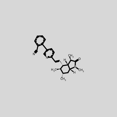 C[C@H]1[C@H](/C=C/c2ccc(-c3ccccc3C#N)cn2)[C@H]2[C@@H](C[C@@H]1C)N(C)C(=O)[C@@H]2C